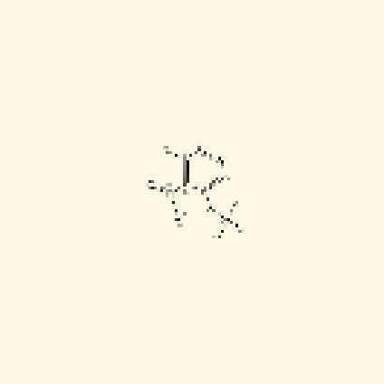 Cc1cccc(CC(C)(C)C)c1[N+](=O)[O-]